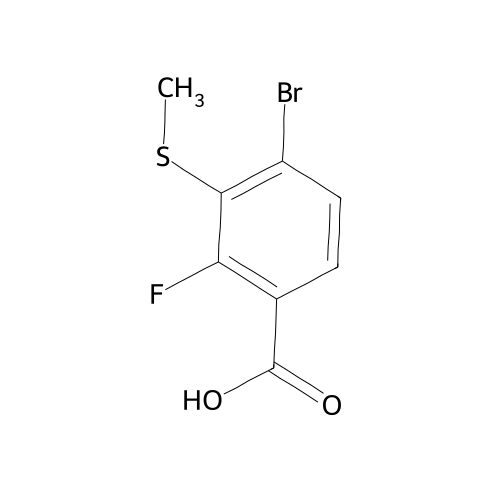 CSc1c(Br)ccc(C(=O)O)c1F